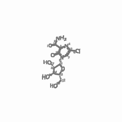 NC(=O)c1nc(Cl)cn([C@@H]2O[C@H](CO)[C@@H](O)[C@@H]2O)c1=O